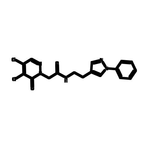 O=C(Cn1ncc(Cl)c(Cl)c1=O)NCCc1cnn(-c2ccccc2)c1